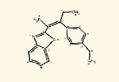 CCC(=C(N)c1nc2ccccc2o1)c1ccc(CC)cc1